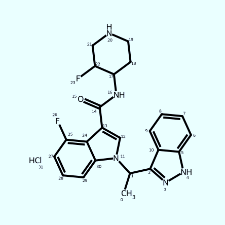 CC(c1n[nH]c2ccccc12)n1cc(C(=O)NC2CCNCC2F)c2c(F)cccc21.Cl